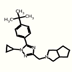 CC(C)(C)c1ccc(-c2nc(CN3CC4CCCC4C3)nn2C2CC2)cc1